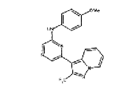 COc1ccc(Nc2cncc(-c3c(C(F)(F)F)nn4ccccc34)n2)cc1